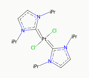 CC(C)n1ccn(C(C)C)[c]1=[Pt]([Cl])([Cl])=[c]1n(C(C)C)ccn1C(C)C